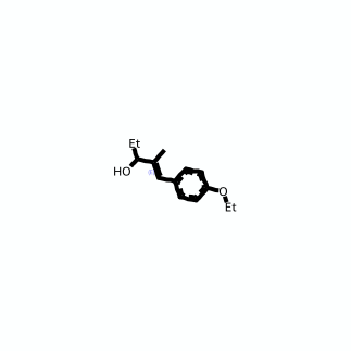 CCOc1ccc(/C=C(\C)C(O)CC)cc1